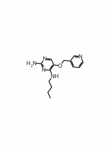 CCCCNc1nc(N)ncc1OCc1cccnc1